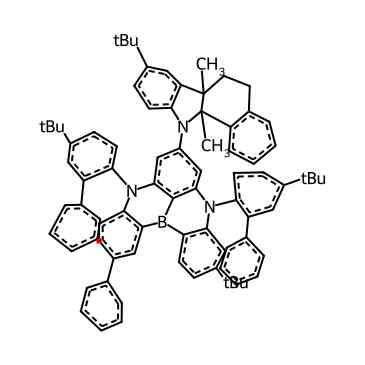 CC(C)(C)c1ccc(N2c3ccc(-c4ccccc4)cc3B3c4ccc(C(C)(C)C)cc4N(c4ccc(C(C)(C)C)cc4-c4ccccc4)c4cc(N5c6ccc(C(C)(C)C)cc6C6(C)CCc7ccccc7C56C)cc2c43)c(-c2ccccc2)c1